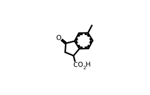 Cc1ccc2c(c1)C(=O)CC2C(=O)O